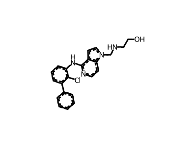 OCCNCn1ccc2c(Nc3cccc(-c4ccccc4)c3Cl)nccc21